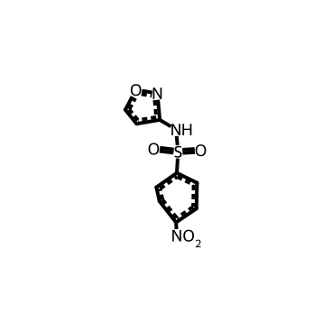 O=[N+]([O-])c1ccc(S(=O)(=O)Nc2ccon2)cc1